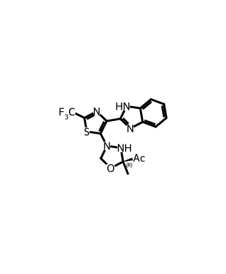 CC(=O)[C@]1(C)NN(c2sc(C(F)(F)F)nc2-c2nc3ccccc3[nH]2)CO1